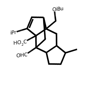 CC(C)COCC12CC3C(C)CCC3C3(C=O)CC1C=C(C(C)C)C32C(=O)O